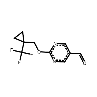 O=Cc1cnc(OCC2(C(F)(F)F)CC2)nc1